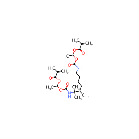 C=C(C)C(=O)OC(C)OC(=O)NCCCCC(C)C(C)(C)NC(=O)OC(C)OC(=O)C(=C)C